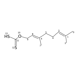 CC(C)=CCC/C(C)=C/COC(=S)S